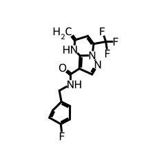 C=C1C=C(C(F)(F)F)n2ncc(C(=O)NCc3ccc(F)cc3)c2N1